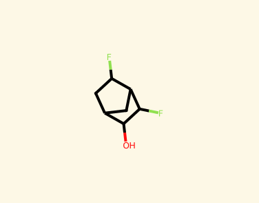 OC1C2CC(F)C(C2)C1F